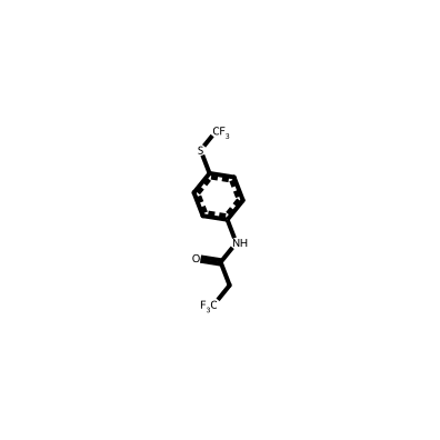 O=C(CC(F)(F)F)Nc1ccc(SC(F)(F)F)cc1